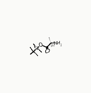 C[C@H](N)C(=O)O[Si](C)(C)C(C)(C)C